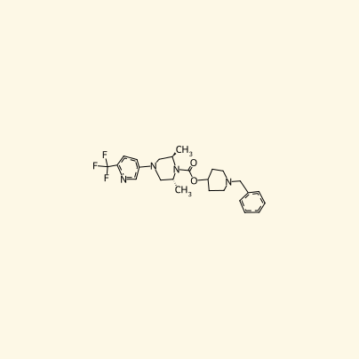 C[C@@H]1CN(c2ccc(C(F)(F)F)nc2)C[C@@H](C)N1C(=O)OC1CCN(Cc2ccccc2)CC1